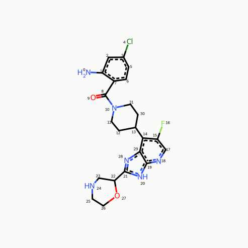 Nc1cc(Cl)ccc1C(=O)N1CCC(c2c(F)cnc3[nH]c(C4CNCCO4)nc23)CC1